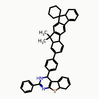 CC1(C)c2cc3c(cc2C2C=CC(c4ccc(C5NC(c6ccccc6)=NC6=C5C5=CC=CCC5S6)cc4)=CC21)C1=CC=CCC1C31CCCCC1